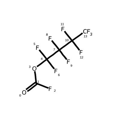 O=C(F)OC(F)(F)C(F)(F)C(F)(F)C(F)(F)F